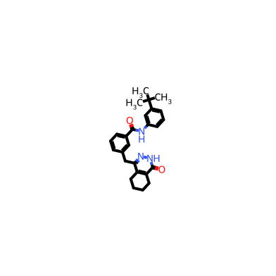 CC(C)(C)c1cccc(NC(=O)c2cccc(Cc3n[nH]c(=O)c4c3CCCC4)c2)c1